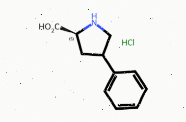 Cl.O=C(O)[C@@H]1CC(c2ccccc2)CN1